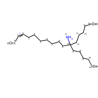 CCCCCCCC/C=C\CCCCCCCC(N)(CCCCCCCCCCCCCC)CCCCCCCCCCCCCC